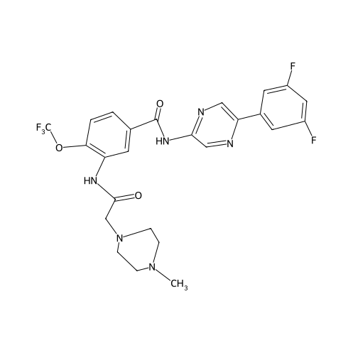 CN1CCN(CC(=O)Nc2cc(C(=O)Nc3cnc(-c4cc(F)cc(F)c4)cn3)ccc2OC(F)(F)F)CC1